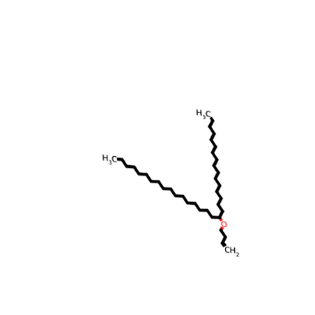 C=CCCOC(CCCCCCCCCCCCCCCC)CCCCCCCCCCCCCCCCC